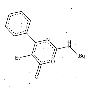 CCc1c(-c2ccccc2)nc(NC(C)(C)C)oc1=O